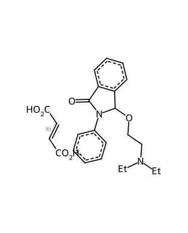 CCN(CC)CCOC1c2ccccc2C(=O)N1c1ccccc1.O=C(O)/C=C/C(=O)O